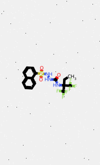 CCC(NC(=O)NNS(=O)(=O)c1cccc2ccccc12)(C(F)(F)F)C(F)(F)F